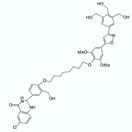 COc1cc(-c2cc(-c3cc(CO)c(CO)c(CO)c3)no2)cc(OC)c1OCCCCCCCCOc1ccc(C2NC(=O)c3cc(Cl)ccc3N2)cc1CO